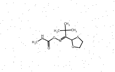 CNC(=O)ON=C(C1OCCS1)C(C)(C)C